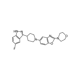 Fc1ccc2[nH]nc(C3CCN(c4ccc5oc(N6CCOCC6)nc5c4)CC3)c2c1